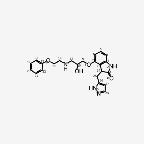 O=C1Nc2cccc(OCC(O)CNCCOc3ccccc3)c2C1Cc1ccn[nH]1